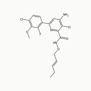 CC/C=C/CONC(=O)c1nc(-c2ccc(Cl)c(OC)c2F)cc(N)c1Cl